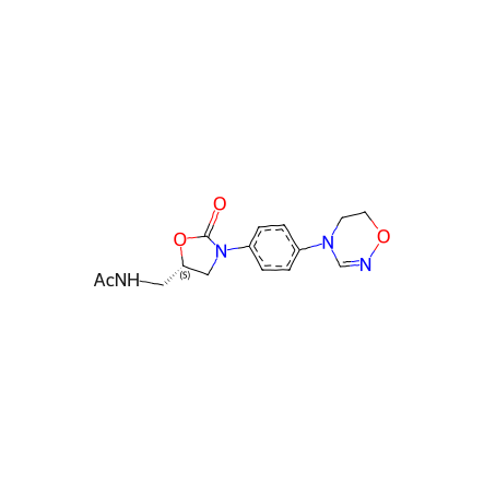 CC(=O)NC[C@H]1CN(c2ccc(N3C=NOCC3)cc2)C(=O)O1